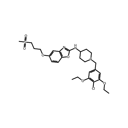 CCOc1cc(CN2CCC(Nc3nc4cc(OCCCS(C)(=O)=O)ccc4o3)CC2)cc(OCC)c1Cl